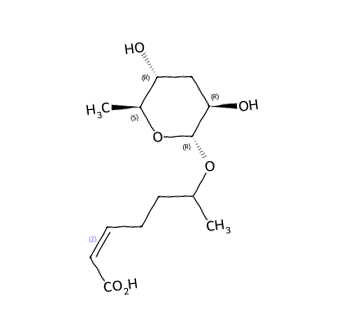 CC(CC/C=C\C(=O)O)O[C@@H]1O[C@@H](C)[C@H](O)C[C@H]1O